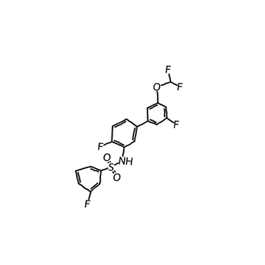 O=S(=O)(Nc1cc(-c2cc(F)cc(OC(F)F)c2)ccc1F)c1cccc(F)c1